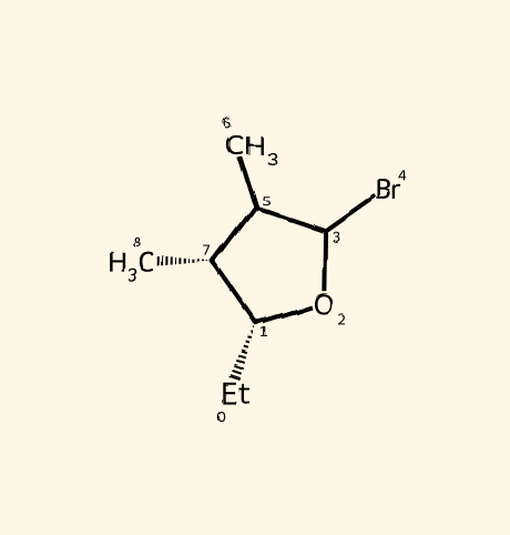 CC[C@H]1OC(Br)C(C)[C@H]1C